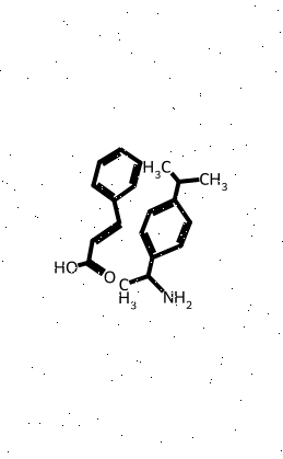 CC(C)c1ccc(C(C)N)cc1.O=C(O)C=Cc1ccccc1